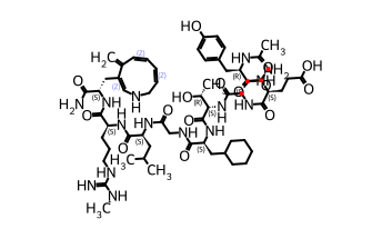 C=C1/C=C\C=C/CN/C=C\1C[C@H](NC(=O)[C@H](CCCNC(=N)NC)NC(=O)[C@H](CC(C)C)NC(=O)CNC(=O)[C@H](CC1CCCCC1)NC(=O)[C@@H](NC(=O)[C@H](CC(N)=O)NC(=O)[C@H](CCC(=O)O)NC(=O)[C@@H](Cc1ccc(O)cc1)NC(C)=O)[C@@H](C)O)C(N)=O